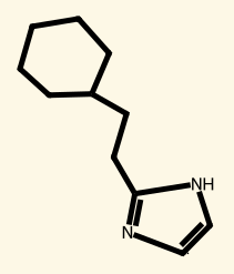 [c]1c[nH]c(CCC2CCCCC2)n1